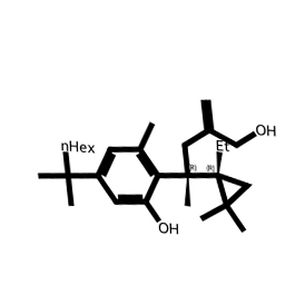 C=C(CO)C[C@@](C)(c1c(C)cc(C(C)(C)CCCCCC)cc1O)[C@]1(CC)CC1(C)C